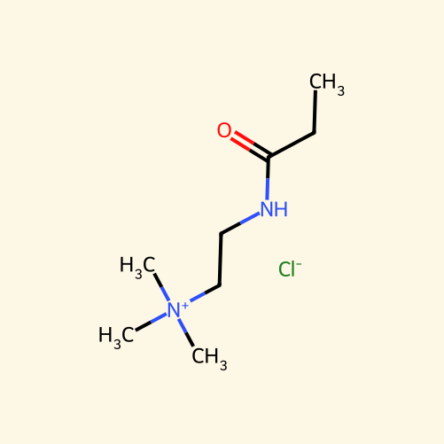 CCC(=O)NCC[N+](C)(C)C.[Cl-]